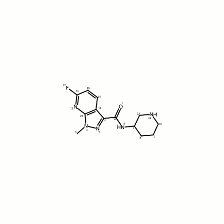 Cn1nc(C(=O)NC2CCCNC2)c2ccc(F)nc21